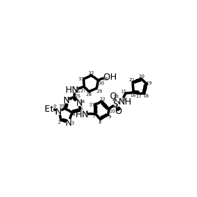 CCn1cnc2c(Nc3ccc(S(=O)(=O)NCc4ccccc4)cc3)nc(NC3CCC(O)CC3)nc21